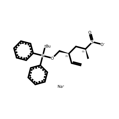 C=C[C@@H](CO[Si](c1ccccc1)(c1ccccc1)C(C)(C)C)C[C@H](C)S(=O)[O-].[Na+]